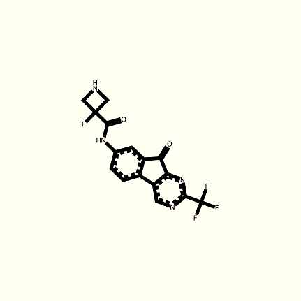 O=C1c2cc(NC(=O)C3(F)CNC3)ccc2-c2cnc(C(F)(F)F)nc21